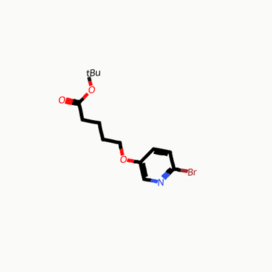 CC(C)(C)OC(=O)CCCCOc1ccc(Br)nc1